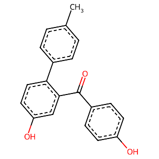 Cc1ccc(-c2ccc(O)cc2C(=O)c2ccc(O)cc2)cc1